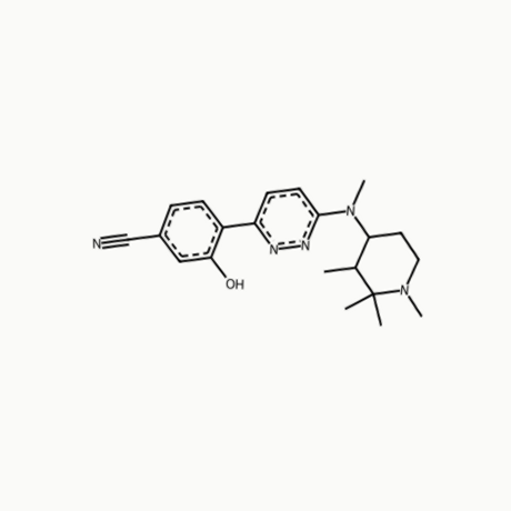 CC1C(N(C)c2ccc(-c3ccc(C#N)cc3O)nn2)CCN(C)C1(C)C